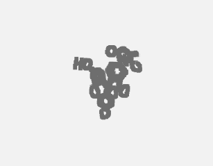 CC1CC(=O)N(c2ccc3c(c2)C(=O)OC32c3ccc(O)cc3OC3=CC(=O)C=CC32)C1=O